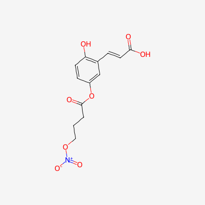 O=C(O)C=Cc1cc(OC(=O)CCCO[N+](=O)[O-])ccc1O